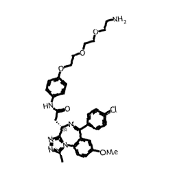 COc1ccc2c(c1)C(c1ccc(Cl)cc1)=N[C@@H](CC(=O)Nc1ccc(OCCOCCOCCN)cc1)c1nnc(C)n1-2